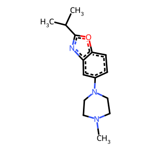 CC(C)c1nc2cc(N3CCN(C)CC3)ccc2o1